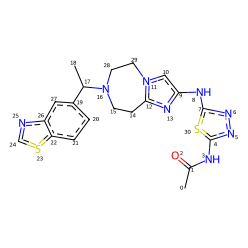 CC(=O)Nc1nnc(Nc2cn3c(n2)CCN(C(C)c2ccc4scnc4c2)CC3)s1